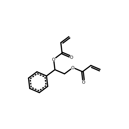 C=CC(=O)OCC(OC(=O)C=C)c1ccccc1